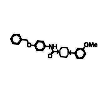 COc1cccc(N2CCN(C(=O)Nc3ccc(OCc4ccccc4)cc3)CC2)c1